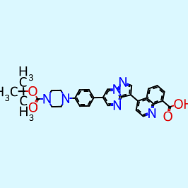 CC(C)(C)OC(=O)N1CCN(c2ccc(-c3cnc4c(-c5ccnc6c(C(=O)O)cccc56)cnn4c3)cc2)CC1